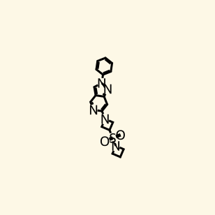 O=S(=O)(C1CN(c2cc3nn(-c4ccccc4)cc3cn2)C1)N1CCC1